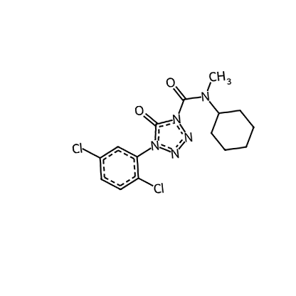 CN(C(=O)n1nnn(-c2cc(Cl)ccc2Cl)c1=O)C1CCCCC1